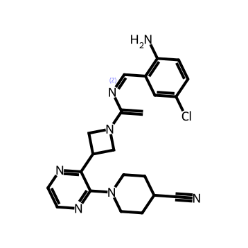 C=C(/N=C\c1cc(Cl)ccc1N)N1CC(c2nccnc2N2CCC(C#N)CC2)C1